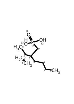 C=C.CCCCC(CC)CP(=O)(O)O